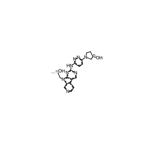 C[C@H](O)Cn1c2cnccc2c2cnc(Nc3ccc(N4CC[C@@H](O)C4)nn3)nc21